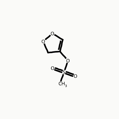 CS(=O)(=O)OC1=COOC1